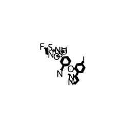 Cn1nccc1-c1ccc(I)cc1Oc1ccc(S(=O)(=O)Nc2ncc(F)s2)cc1C#N